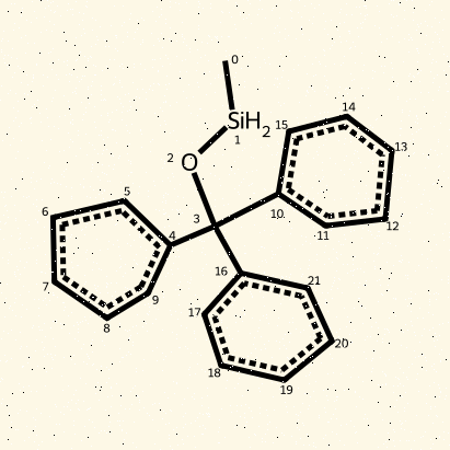 C[SiH2]OC(c1ccccc1)(c1ccccc1)c1ccccc1